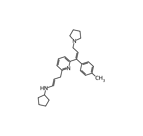 Cc1ccc(C(=CCN2CCCC2)c2cccc(CC=CNC3CCCC3)n2)cc1